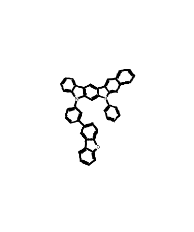 c1ccc(-n2c3cc4ccccc4cc3c3cc4c5ccccc5n(-c5cccc(-c6ccc7oc8ccccc8c7c6)c5)c4cc32)cc1